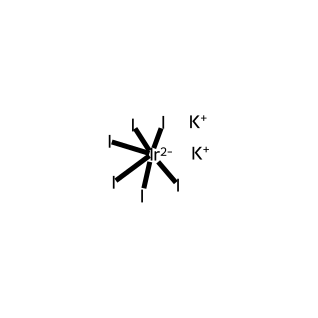 [I][Ir-2]([I])([I])([I])([I])[I].[K+].[K+]